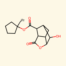 CC(C)C1(OC(=O)C2C3CC4C(OC(=O)C42)C3O)CCCC1